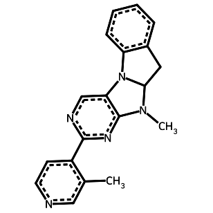 Cc1cnccc1-c1ncc2c(n1)N(C)C1Cc3ccccc3N21